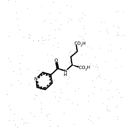 O=C(O)CC[C@H](NC(=O)c1cccnc1)C(=O)O